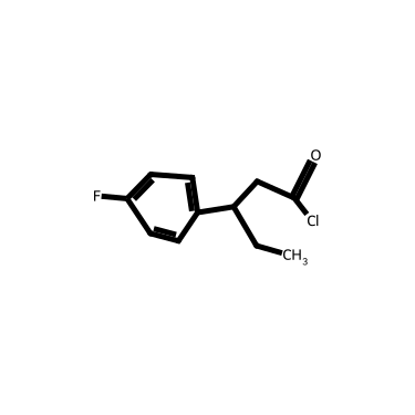 CCC(CC(=O)Cl)c1ccc(F)cc1